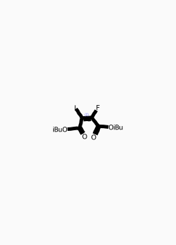 CC(C)COC(=O)/C(F)=C(/I)C(=O)OCC(C)C